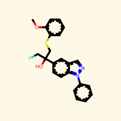 COc1ccccc1SCC(O)(CF)c1ccc2c(cnn2-c2ccccc2)c1